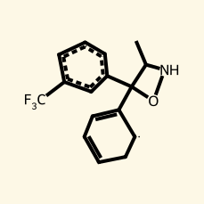 CC1NOC1(C1=CC=CC[CH]1)c1cccc(C(F)(F)F)c1